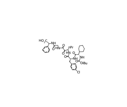 CCCC(NC(=O)[C@H](Cc1ccc(Cl)cc1)NC(=O)[C@@H](NC(=O)OCC(C)C)C1CCCCC1)C(=O)C(=O)NCC(=O)NC(C(=O)O)c1ccccc1